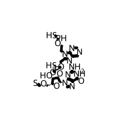 Nc1nc2c(ncn2[C@@H]2O[C@H](COC=S)[C@@H](O)[C@H]2OP(=O)(S)OCc2nc3cncnc3n2CCOPS)c(=O)[nH]1